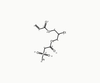 C=CC(=O)OCC(CC)COC(=O)CS(=O)(=O)C(C)C